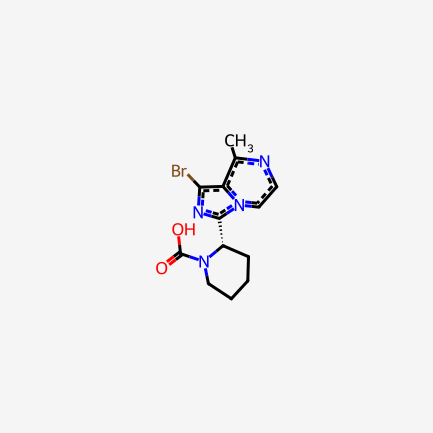 Cc1nccn2c([C@@H]3CCCCN3C(=O)O)nc(Br)c12